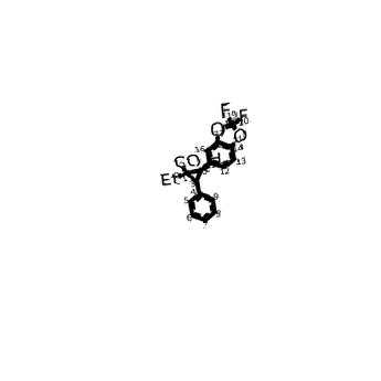 CCC1(C(=O)O)C(c2ccccc2)C1c1ccc2c(c1)OC(F)(F)O2